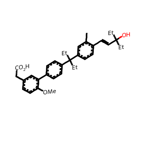 CCC(O)(C=Cc1ccc(C(CC)(CC)c2ccc(-c3cc(CC(=O)O)ccc3OC)cc2)cc1C)CC